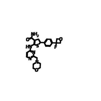 NC(=O)C1=C(Nc2ccnc(CN3CCOCC3)n2)SC(c2ccc(C3(F)COC3)cc2)C1